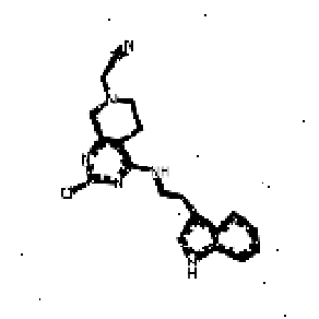 N#CCN1CCc2c(nc(Cl)nc2NCCc2c[nH]c3ccccc23)C1